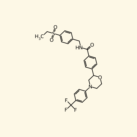 CCS(=O)(=O)c1ccc(CNC(=O)c2ccc(C3CN(c4ccc(C(F)(F)F)cc4)CCO3)cc2)cc1